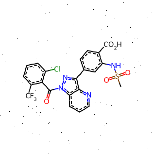 CS(=O)(=O)Nc1cc(-c2nn(C(=O)c3c(Cl)cccc3C(F)(F)F)c3cccnc23)ccc1C(=O)O